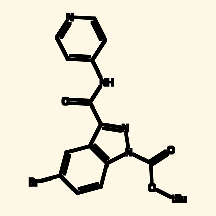 CC(C)(C)OC(=O)n1nc(C(=O)Nc2ccncc2)c2cc(Br)ccc21